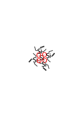 C=C[Si](CC)(CC)O[Si](O[Si](C=C)(CC)CC)(O[Si](C=C)(CC)CC)O[Si](C=C)(CC)CC